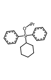 CC(C)O[Si](c1ccccc1)(c1ccccc1)C1CCCCC1